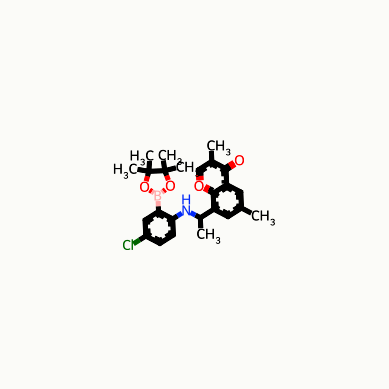 Cc1cc(C(C)Nc2ccc(Cl)cc2B2OC(C)(C)C(C)(C)O2)c2occ(C)c(=O)c2c1